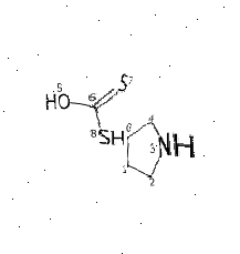 C1CCNC1.OC(=S)S